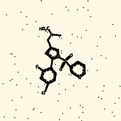 CN(Cc1cc(-c2ccc(Cl)cc2F)n(S(=O)(=O)c2cccnc2)c1)C(=O)O